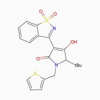 CC(C)(C)C1C(O)=C(C2=NS(=O)(=O)c3ccccc32)C(=O)N1Cc1cccs1